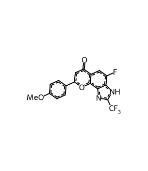 COc1ccc(-c2cc(=O)c3cc(F)c4[nH]c(C(F)(F)F)nc4c3o2)cc1